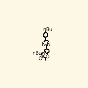 CCCCOC(=O)C(C)Oc1ccc(-c2ncc(-c3ccc(CCCC)cc3)cn2)cc1